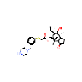 C=C[C@]1(C)C[C@@H](OC(=O)CSc2cccc(CN3CCNCC3)c2)[C@]2(C)C(C)CCC3(CCC(=O)C32)[C@@H](C)[C@@H]1O